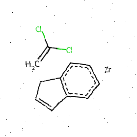 C1=Cc2ccccc2C1.C=C(Cl)Cl.[Zr]